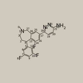 CN1CCC(c2cc(F)cc(F)c2)c2c(F)cc(-c3ccc(N)nn3)cc2C1